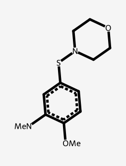 CNc1cc(SN2CCOCC2)ccc1OC